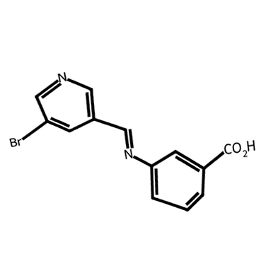 O=C(O)c1cccc(N=Cc2cncc(Br)c2)c1